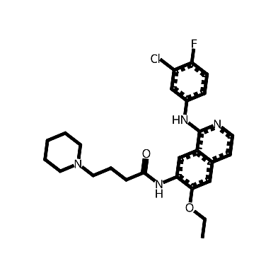 CCOc1cc2ccnc(Nc3ccc(F)c(Cl)c3)c2cc1NC(=O)CCCN1CCCCC1